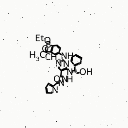 CCOB1OC(C)(C)c2cc(Nc3ncc(-c4nnc(-c5ccccn5)o4)c(N[C@H](CO)c4ccccc4)n3)ccc21